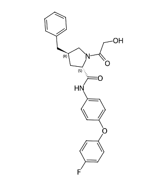 O=C(Nc1ccc(Oc2ccc(F)cc2)cc1)[C@@H]1C[C@@H](Cc2ccccc2)CN1C(=O)CO